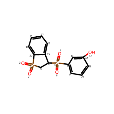 O=S1(=O)CC(S(=O)(=O)c2cccc(O)c2)c2ccccc21